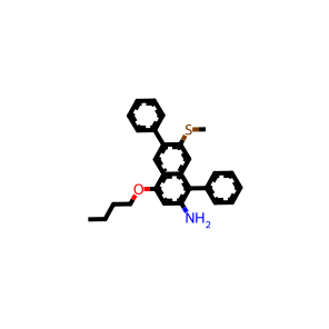 CCCCOc1cc(N)c(-c2ccccc2)c2cc(SC)c(-c3ccccc3)cc12